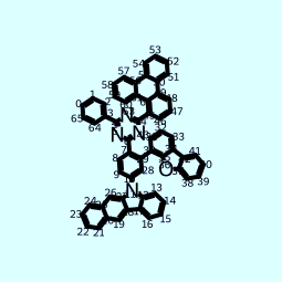 c1ccc(-c2nc(-c3ccc(-n4c5ccccc5c5cc6ccccc6cc54)cc3-c3cccc4c3oc3ccccc34)nc(-c3cccc4c5ccccc5c5ccccc5c34)n2)cc1